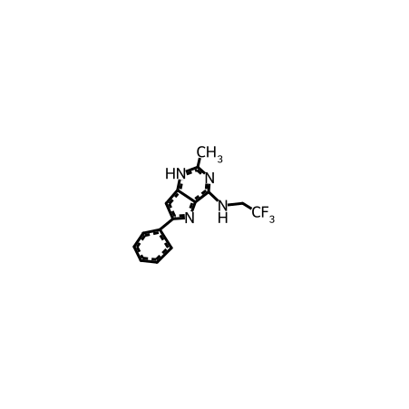 Cc1nc(NCC(F)(F)F)c2nc(-c3ccccc3)cc-2[nH]1